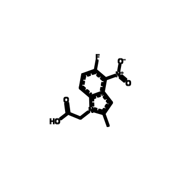 Cc1cc2c([N+](=O)[O-])c(F)ccc2n1CC(=O)O